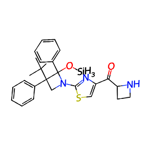 CC(C)(C)C1(c2ccccc2)CN(c2nc(C(=O)C3CCN3)cs2)C1(O[SiH3])c1ccccc1